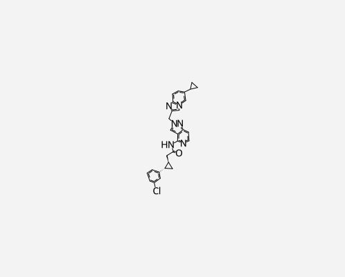 O=C(C[C@H]1C[C@@H]1c1cccc(Cl)c1)Nc1nccc2nn(Cc3cn4cc(C5CC5)ccc4n3)cc12